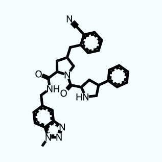 Cn1nnc2cc(CNC(=O)C3CC(Cc4ccccc4C#N)CN3C(=O)C3CC(c4ccccc4)CN3)ccc21